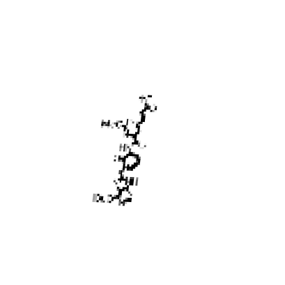 COC(=O)NC(CCC=CC(=O)N(C)C)C(=O)Nc1cccn(Cc2nc3c(OCC(C)C)ncnc3[nH]2)c1=O